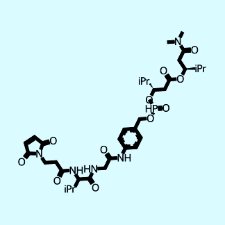 CC(C)C(NC(=O)CCN1C(=O)C=CC1=O)C(=O)NCC(=O)Nc1ccc(CO[PH](=O)O[C@@H](CC(=O)O[C@@H](CC(=O)N(C)C)C(C)C)C(C)C)cc1